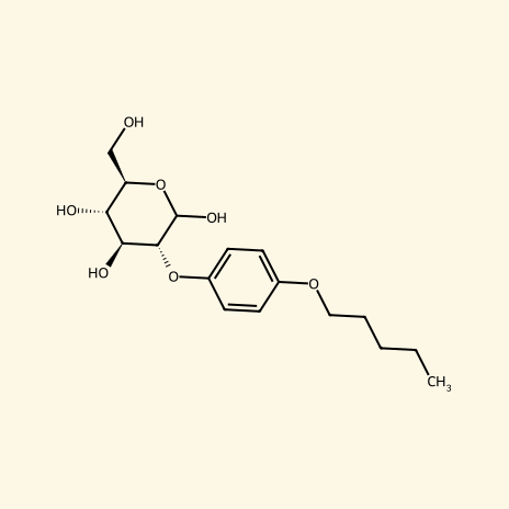 CCCCCOc1ccc(O[C@H]2C(O)O[C@H](CO)[C@@H](O)[C@@H]2O)cc1